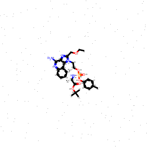 CCOCc1nc2c(N)nc3ccccc3c2n1C[C@@H](C)O[P@](=O)(N[C@@H](C)C(=O)OC(C)(C)C)Oc1ccc(C)cc1